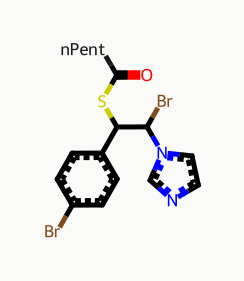 CCCCCC(=O)SC(c1ccc(Br)cc1)C(Br)n1ccnc1